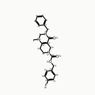 CN1CN(Cc2ccccc2)C(=O)C2=C1CCN(C(=O)OCc1ccc(F)cc1)C2